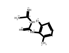 CCc1cccc(C)c1NC(=N)NC(=N)N